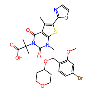 COc1cc(Br)ccc1[C@@H](Cn1c(=O)n(C(C)(C)C(=O)O)c(=O)c2c(C)c(-c3ncco3)sc21)OC1CCOCC1